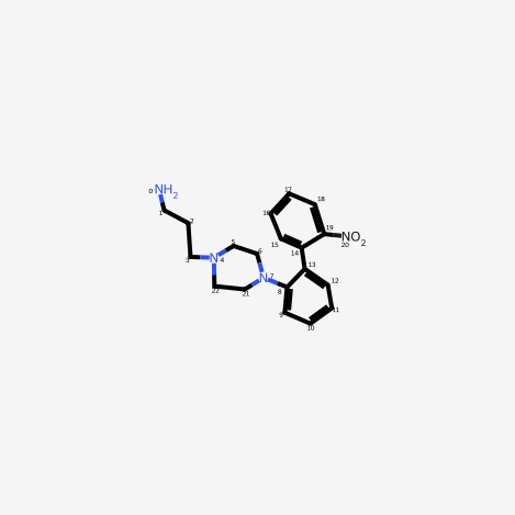 NCCCN1CCN(c2ccccc2-c2ccccc2[N+](=O)[O-])CC1